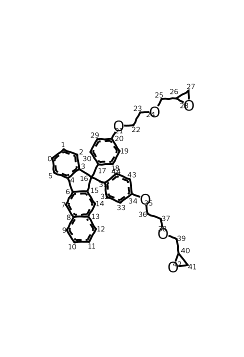 c1ccc2c(c1)-c1cc3ccccc3cc1C2(c1ccc(OCCOCC2CO2)cc1)c1ccc(OCCOCC2CO2)cc1